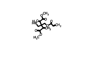 C=CC(=O)OCC(CO)(C(=C)C(=O)OC)C(=C)C(=O)OC